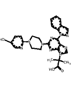 CC(C)(C(=O)O)n1cnc2c(-n3ncc4ccccc43)nc(N3CCN(c4ccc(O)cn4)CC3)nc21